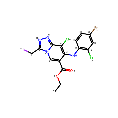 CCOC(=O)c1cn2c(CI)nnc2c(Cl)c1Nc1ccc(Br)cc1Cl